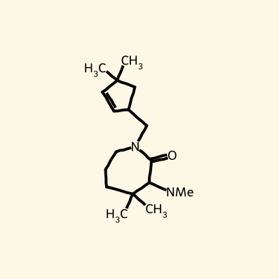 CNC1C(=O)N(CC2C=CC(C)(C)C2)CCCC1(C)C